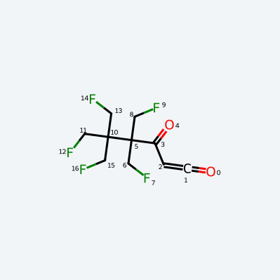 O=C=CC(=O)C(CF)(CF)C(CF)(CF)CF